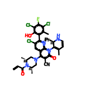 C=CC(=O)N1[C@H](C)CN(c2c(C#N)c(=O)n(C3=C(C)C=CN[C@@H]3C(C)C)c3nc(-c4c(C)c(Cl)c(F)c(Cl)c4O)c(Cl)cc23)C[C@@H]1C